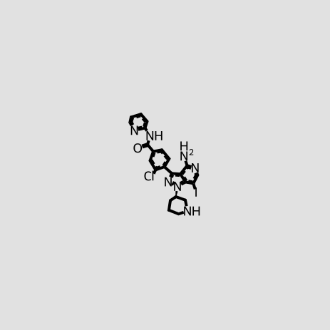 Nc1ncc(I)c2c1c(-c1ccc(C(=O)Nc3ccccn3)cc1Cl)nn2[C@@H]1CCCNC1